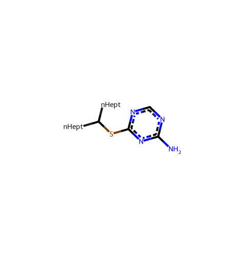 CCCCCCCC(CCCCCCC)Sc1ncnc(N)n1